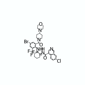 O=C(N[C@H]1CCCC[C@H]1Nc1c(C(=O)N2CCC(N3CCOCC3)CC2)cc(Br)cc1C(F)(F)F)c1cncc2cc(Cl)ccc12